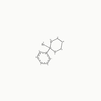 CCC1(c2ccccc2)OCCCO1